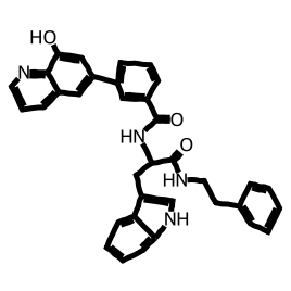 O=C(NC(Cc1c[nH]c2ccccc12)C(=O)NCCc1ccccc1)c1cccc(-c2cc(O)c3ncccc3c2)c1